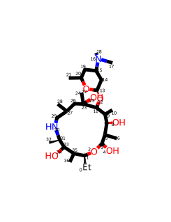 CC[C@@H]1OC(O)C(C)[C@H](O)C(C)C(O[C@H]2CC(N(C)C)CC(C)O2)C(C)(O)CC(C)CN[C@H](C)C(O)C1C